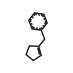 [C]1=C(Cc2ccccc2)CCC1